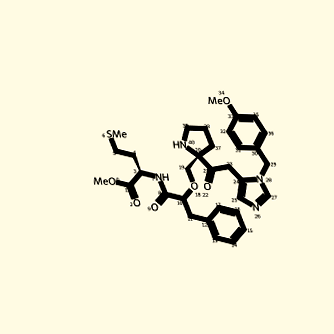 COC(=O)[C@@H](CCSC)NC(=O)C(Cc1ccccc1)OC[C@]1(C(=O)Cc2cncn2Cc2ccc(OC)cc2)CCCN1